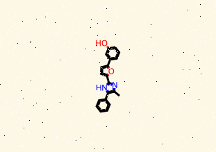 Cc1nc(-c2ccc(-c3cccc(O)c3)o2)[nH]c1-c1ccccc1